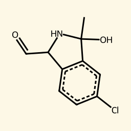 CC1(O)NC(C=O)c2ccc(Cl)cc21